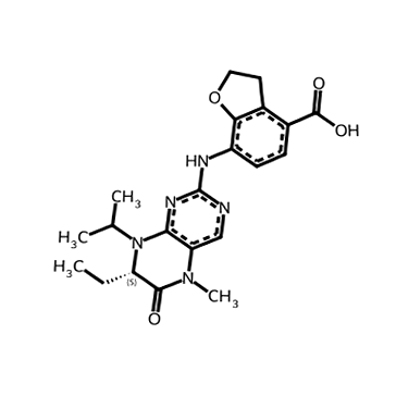 CC[C@H]1C(=O)N(C)c2cnc(Nc3ccc(C(=O)O)c4c3OCC4)nc2N1C(C)C